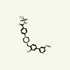 CCOc1cncc(-c2ccc(CN3CCN(c4ccc(C(=O)NS(C)(=O)=O)cc4)CC3)c(CC)c2)c1